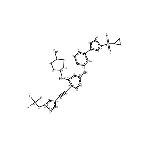 O=S(=O)(C1CC1)n1cc(-c2nccc(Nc3cc(NC4CCC(O)CC4)c(C#Cc4cnn(CC(F)(F)F)c4)cn3)n2)cn1